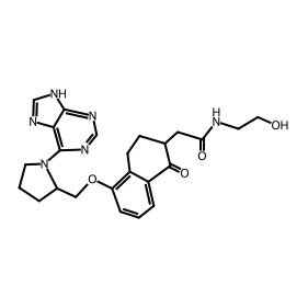 O=C(CC1CCc2c(OCC3CCCN3c3ncnc4[nH]cnc34)cccc2C1=O)NCCO